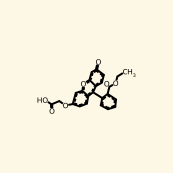 CCOC(=O)c1ccccc1-c1c2ccc(=O)cc-2oc2cc(OCC(=O)O)ccc12